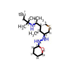 C[C@H](NC(C)(C)CC(C)(C)C)[C@@H]1CSCC(NNC2CCCCO2)[C@@H]1C